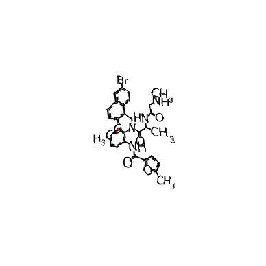 CNCC(=O)NC(C)C(=O)N(Cc1c(OC)ccc2cc(Br)ccc12)c1ccccc1NC(=O)c1ccc(C)o1